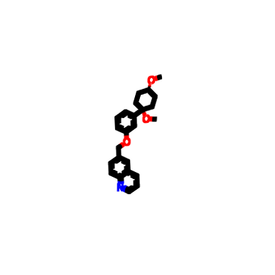 CO[C@H]1CC[C@@](OC)(c2cccc(OCc3ccc4ncccc4c3)c2)CC1